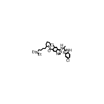 CCN(CC)CCCCC1CCCCN1C(=O)c1cc2ncnc(NC(C)c3nc4cc(Cl)ccc4[nH]3)c2cc1Cl